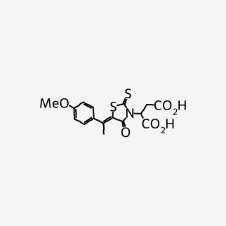 COc1ccc(C(C)=C2SC(=S)N(C(CC(=O)O)C(=O)O)C2=O)cc1